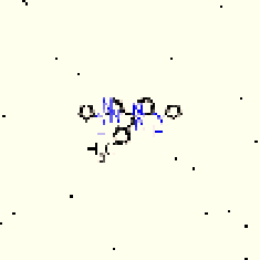 Cc1ccc(-c2nc3c(NC4CCCC4)cccn3c2-c2ccnc(NC3CCCC3)n2)cc1